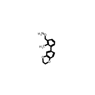 Cc1c(CON)cccc1-c1ccc2c(c1)OCCO2